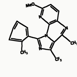 COc1ccc2nc(C)c3c(C(F)(F)F)nc(-c4ccccc4C)n3c2n1